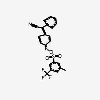 Cc1cc(C(F)(F)F)cc(S(=O)(=O)ON=C2C=CC(=C(C#N)c3ccccc3)C=C2)c1